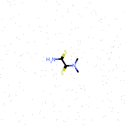 CN(C)C(=S)C(N)=S